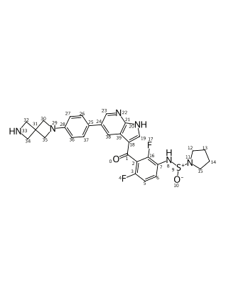 O=C(c1c(F)ccc(N[S+]([O-])N2CCCC2)c1F)c1c[nH]c2ncc(-c3ccc(N4CC5(CNC5)C4)cc3)cc12